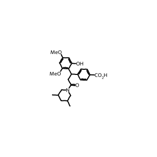 COc1cc(O)c(C(CC(=O)N2CC(C)CC(C)C2)c2ccc(C(=O)O)cc2)c(OC)c1